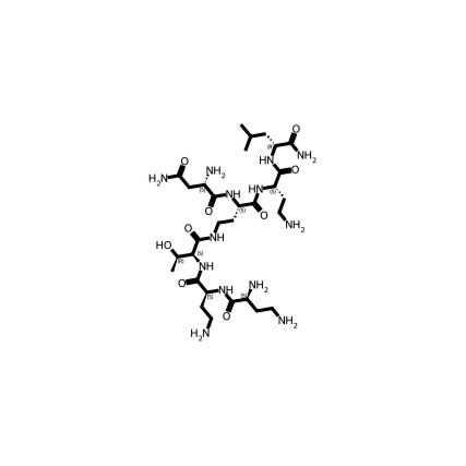 CC(C)C[C@@H](NC(=O)[C@H](CCN)NC(=O)[C@H](CCNC(=O)[C@@H](NC(=O)[C@H](CCN)NC(=O)[C@@H](N)CCN)[C@@H](C)O)NC(=O)[C@@H](N)CC(N)=O)C(N)=O